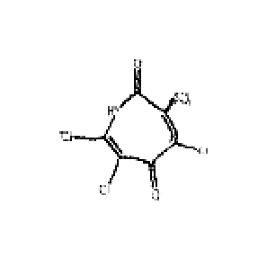 O=c1[nH]c(Cl)c(Cl)c(=O)c(Cl)c1Cl